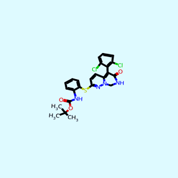 CC(C)(C)OC(=O)Nc1ccccc1SC1=NN2CNC(=O)C(c3c(Cl)cccc3Cl)=C2C=C1